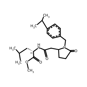 COC(=O)[C@H](CC(C)C)NC(=O)CC1CCC(=O)N1Cc1ccc(C(C)C)cc1